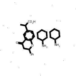 CC(C(=O)O)c1ccc2c(c1)C(=O)CC(C(C)C)O2.NC1CCCCC1.NC1CCCCC1